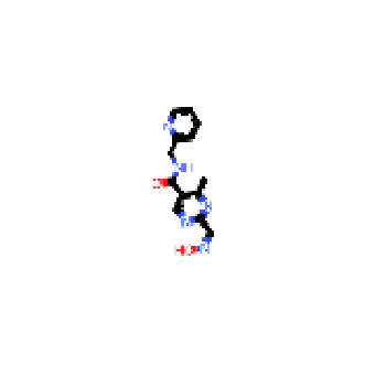 Cc1nc(/C=N\O)ncc1C(=O)NCc1ccccn1